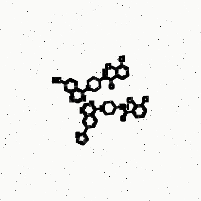 N#Cc1ccc2c(N3CCC(NC(=O)c4cccc(Cl)c4Cl)CC3)ncnc2c1.O=C(NC1CCN(c2ncnc3cc(-c4cccs4)ccc23)CC1)c1cccc(Cl)c1Cl